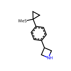 CSC1(c2ccc(C3CNC3)cc2)CC1